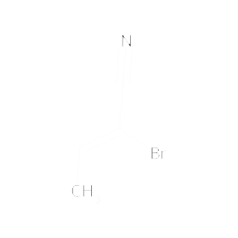 CC=C(Br)C#N